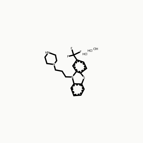 Cl.Cl.Cl.FC(F)(F)c1ccc2c(c1)N(CCCN1CCNCC1)c1ccccc1S2